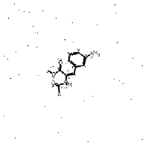 COC(=O)/C(=C\c1cccc(N)c1)NC(C)=O